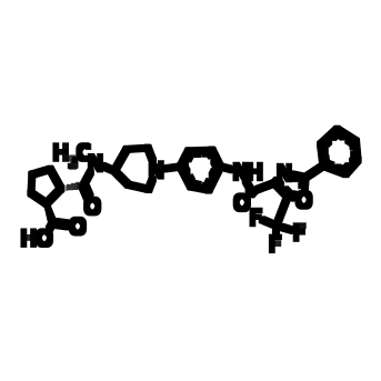 CN(C(=O)[C@H]1CCC[C@@H]1C(=O)O)C1CCN(c2ccc(NC(=O)c3nc(-c4ccccc4)oc3C(F)(F)F)cc2)CC1